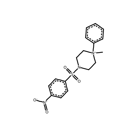 C[N+]1(c2ccccc2)CCN(S(=O)(=O)c2ccc([N+](=O)[O-])cc2)CC1